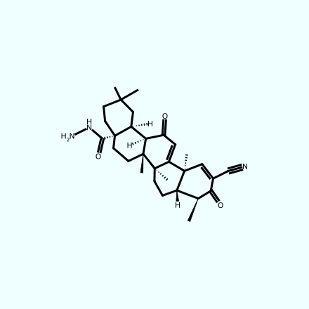 C[C@@H]1C(=O)C(C#N)=C[C@]2(C)C3=CC(=O)[C@@H]4[C@@H]5CC(C)(C)CC[C@]5(C(=O)NN)CC[C@@]4(C)[C@]3(C)CC[C@@H]12